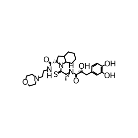 C[C@H](NC(=O)[C@H](O)Cc1ccc(O)c(O)c1)C(=S)N1C2CCCCC2C[C@H]1C(=O)NCCN1CCOCC1